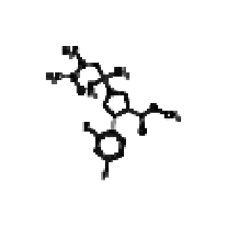 COC(=O)C1CN(C(C)(C)CN(C)[S+](C)[O-])C[C@H]1c1ccc(F)cc1F